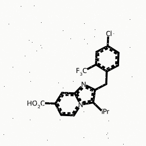 CC(C)c1c(Cc2ccc(Cl)cc2C(F)(F)F)nc2cc(C(=O)O)ccn12